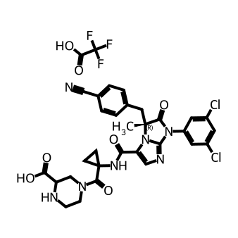 C[C@@]1(Cc2ccc(C#N)cc2)C(=O)N(c2cc(Cl)cc(Cl)c2)c2ncc(C(=O)NC3(C(=O)N4CCNC(C(=O)O)C4)CC3)n21.O=C(O)C(F)(F)F